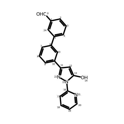 O=Cc1cccc(-c2cccc(-c3cc(O)n(-c4ccccn4)n3)c2)c1